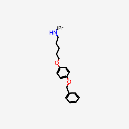 CC(C)NCCCCCOc1ccc(OCc2ccccc2)cc1